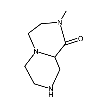 CN1CCN2CCNCC2C1=O